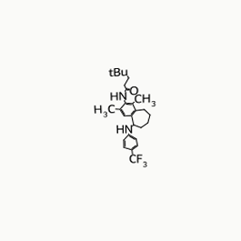 Cc1cc2c(c(C)c1NC(=O)CCC(C)(C)C)CCCCC2Nc1ccc(C(F)(F)F)cc1